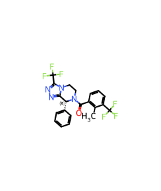 Cc1c(C(=O)N2CCn3c(nnc3C(F)(F)F)[C@H]2c2ccccc2)cccc1C(F)(F)F